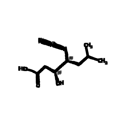 CC(C)C[C@H](N=[N+]=[N-])[C@@H](O)CC(=O)O